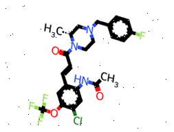 CC(=O)Nc1cc(Cl)c(OC(F)(F)F)cc1C=CC(=O)N1CCN(Cc2ccc(F)cc2)C[C@H]1C